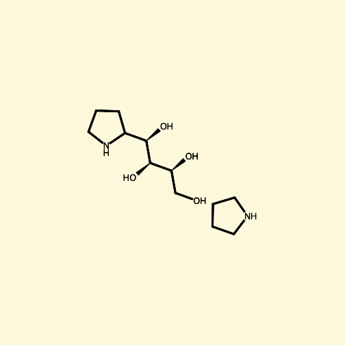 C1CCNC1.OC[C@H](O)[C@@H](O)[C@H](O)C1CCCN1